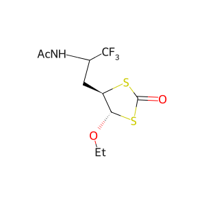 CCO[C@H]1SC(=O)S[C@@H]1CC(NC(C)=O)C(F)(F)F